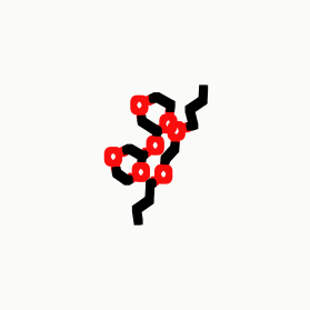 C1COC(OC2COCCO2)CO1.CCCCOCCOCCCC